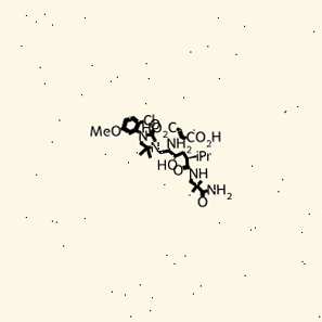 COc1ccc(Cl)c(N2CC(C)(C)N(C[C@H](N)[C@@H](O)C[C@H](C(=O)NCC(C)(C)C(N)=O)C(C)C)CC2=O)c1.O=C(O)/C=C/C(=O)O